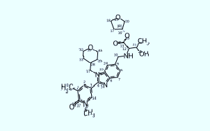 Cc1cc(-c2nc3ccc(CNC(C(=O)O[C@@H]4CCOC4)C(C)O)cc3n2CC2CCOCC2)cn(C)c1=O